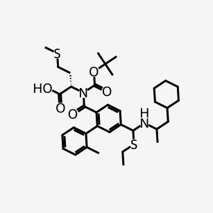 CCSC(NC(C)CC1CCCCC1)c1ccc(C(=O)N(C(=O)OC(C)(C)C)[C@@H](CCSC)C(=O)O)c(-c2ccccc2C)c1